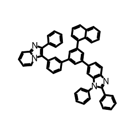 c1ccc(-c2nc3ccccn3c2-c2cccc(-c3cc(-c4ccc5nc(-c6ccccc6)n(-c6ccccc6)c5c4)cc(-c4cccc5ccccc45)c3)c2)cc1